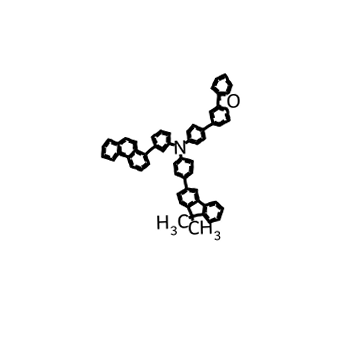 CC1(C)c2ccccc2-c2cc(-c3ccc(N(c4ccc(-c5ccc6oc7ccccc7c6c5)cc4)c4cccc(-c5cccc6c5ccc5ccccc56)c4)cc3)ccc21